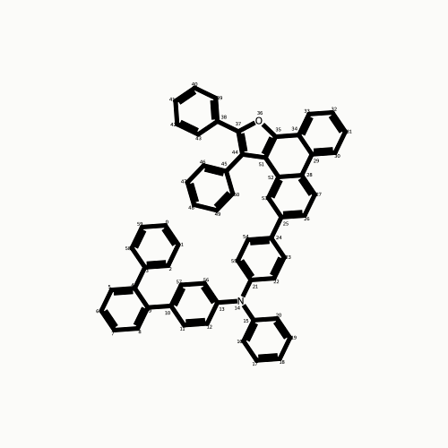 c1ccc(-c2ccccc2-c2ccc(N(c3ccccc3)c3ccc(-c4ccc5c6ccccc6c6oc(-c7ccccc7)c(-c7ccccc7)c6c5c4)cc3)cc2)cc1